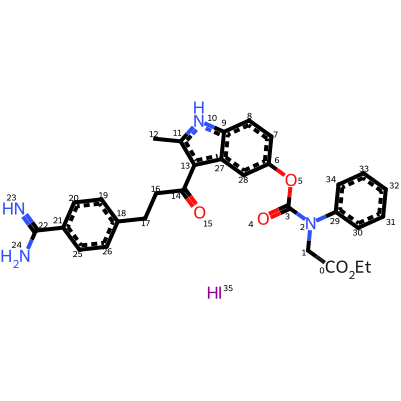 CCOC(=O)CN(C(=O)Oc1ccc2[nH]c(C)c(C(=O)CCc3ccc(C(=N)N)cc3)c2c1)c1ccccc1.I